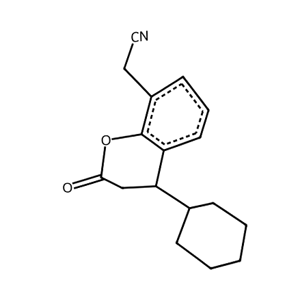 N#CCc1cccc2c1OC(=O)CC2C1CCCCC1